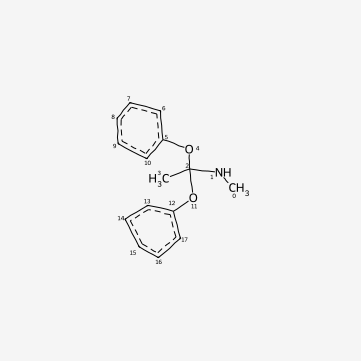 CNC(C)(Oc1ccccc1)Oc1ccccc1